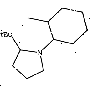 CC1CCCCC1N1CCCC1C(C)(C)C